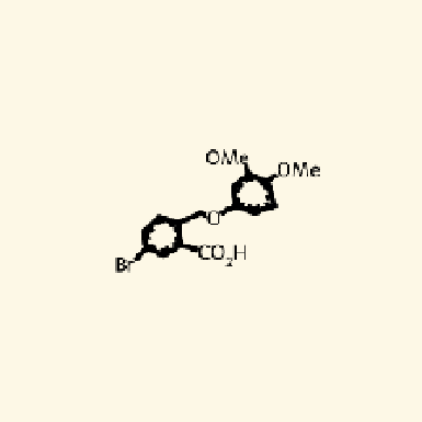 COc1ccc(OCc2ccc(Br)cc2C(=O)O)cc1OC